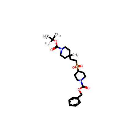 CC1(CCS(=O)(=O)C2CCN(C(=O)OCc3ccccc3)CC2)CCN(C(=O)OC(C)(C)C)CC1